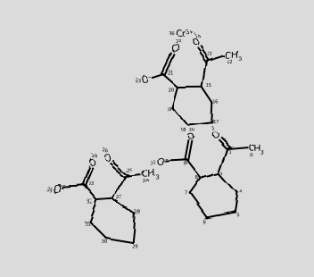 CC(=O)C1CCCCC1C(=O)[O-].CC(=O)C1CCCCC1C(=O)[O-].CC(=O)C1CCCCC1C(=O)[O-].[Cr+3]